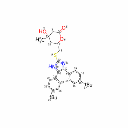 CC1(O)CC(=O)O[C@H](CSc2nc(-c3ccc(C(C)(C)C)cc3)c(-c3ccc(C(C)(C)C)cc3)[nH]2)C1